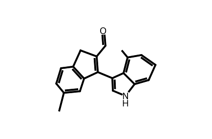 Cc1ccc2c(c1)C(c1c[nH]c3cccc(C)c13)=C(C=O)C2